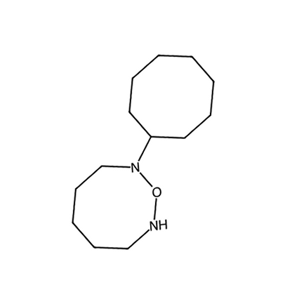 C1CCCC(N2CCCCCNO2)CCC1